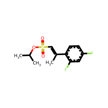 C/C(=C\S(=O)(=O)OC(C)C)c1ccc(F)cc1F